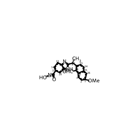 COc1ccc2c(C=O)c([C@H](C)c3nc4ccc(C(=O)NO)cc4[nH]3)ccc2c1